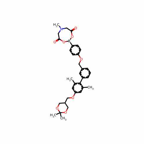 Cc1cc(OCC2COC(C)(C)OC2)cc(C)c1-c1cccc(COc2ccc(B3OC(=O)CN(C)CC(=O)O3)cc2)c1